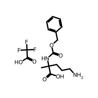 CC(CCCN)(NC(=O)OCc1ccccc1)C(=O)O.O=C(O)C(F)(F)F